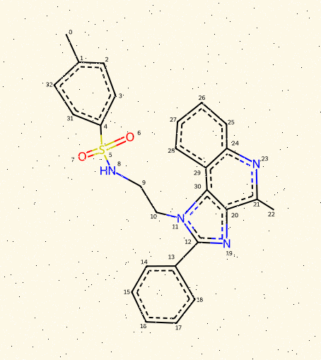 Cc1ccc(S(=O)(=O)NCCn2c(-c3ccccc3)nc3c(C)nc4ccccc4c32)cc1